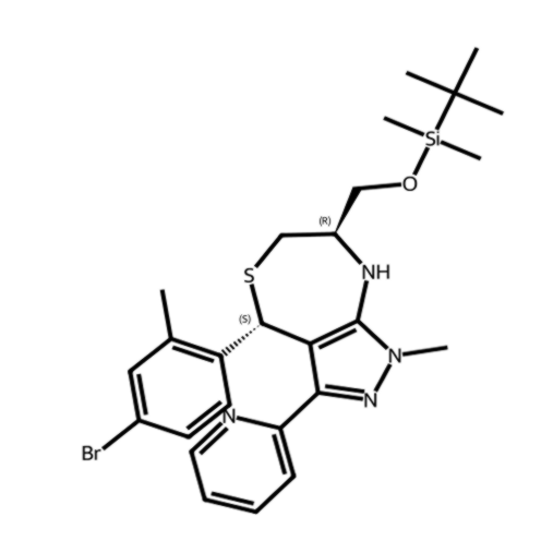 Cc1cc(Br)ccc1[C@@H]1SC[C@@H](CO[Si](C)(C)C(C)(C)C)Nc2c1c(-c1ccccn1)nn2C